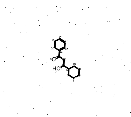 O=C(CC(O)C1CCCCC1)c1ccccc1